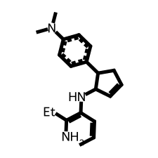 C/C=C\C(NC1C=CCC1c1ccc(N(C)C)cc1)=C(/N)CC